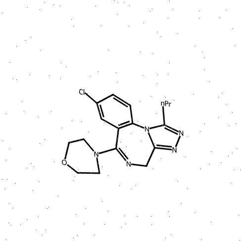 CCCc1nnc2n1-c1ccc(Cl)cc1C(N1CCOCC1)=NC2